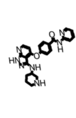 O=C(Nc1ccccn1)c1ccc(Oc2ccnc3[nH]nc(NC4CCCNC4)c23)cc1